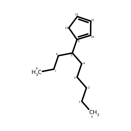 CCCCCC(CCC)C1=CC=CC1